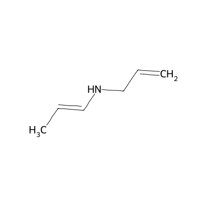 C=CCN/C=C/C